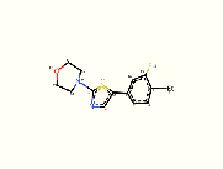 CCc1ccc(-c2cnc(N3CCOCC3)s2)cc1F